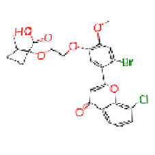 COc1cc(Br)c(-c2cc(=O)c3cccc(Cl)c3o2)cc1OCCOC1(C(=O)O)CCC1C